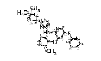 Cc1ncccc1Oc1cc(Sc2ccccn2)cnc1Nc1nc(C2COC(C)(C)O2)ns1